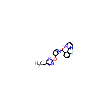 CCc1cnc(OC2CC3CC2N(C(=O)c2cccc(F)c2-c2ncccn2)C3)nc1